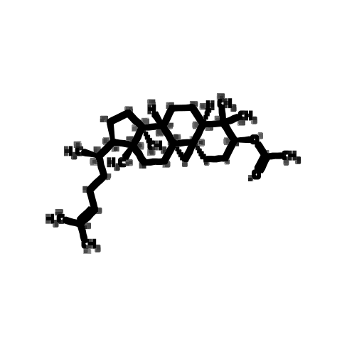 CC(=O)O[C@H]1CC[C@]23C[C@@]24CC[C@]2(C)[C@@H]([C@H](C)CCC=C(C)C)CC[C@@]2(C)[C@@H]4CC[C@H]3C1(C)C